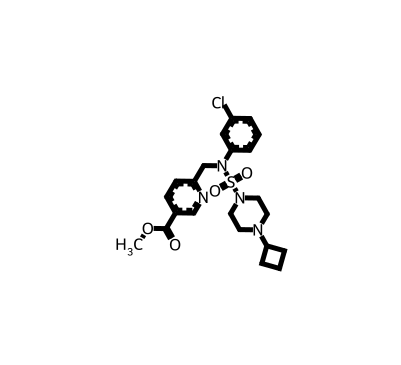 COC(=O)c1ccc(CN(c2cccc(Cl)c2)S(=O)(=O)N2CCN(C3CCC3)CC2)nc1